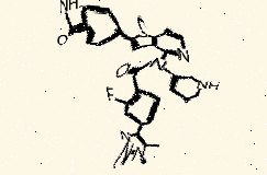 Cc1c(-c2ccc(C(=O)N(c3nccc4sc(-c5ccc(C(N)=O)cc5)cc34)[C@@H]3CCCNC3)c(F)c2)nnn1C